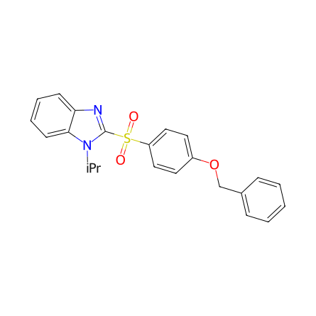 CC(C)n1c(S(=O)(=O)c2ccc(OCc3ccccc3)cc2)nc2ccccc21